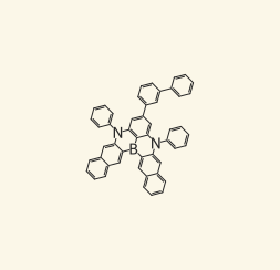 c1ccc(-c2cccc(-c3cc4c5c(c3)N(c3ccccc3)c3cc6ccccc6cc3B5c3cc5ccccc5cc3N4c3ccccc3)c2)cc1